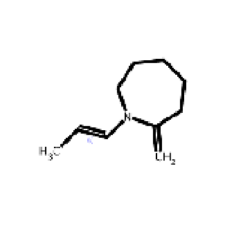 C=C1CCCCCN1/C=C/C